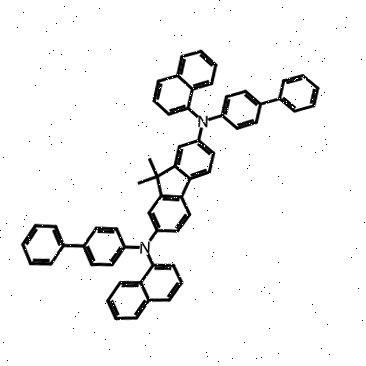 CC1(C)c2cc(N(c3ccc(-c4ccccc4)cc3)c3cccc4ccccc34)ccc2-c2ccc(N(c3ccc(-c4ccccc4)cc3)c3cccc4ccccc34)cc21